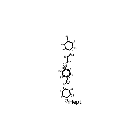 CCCCCCC[C@H]1CC[C@H](COc2ccc(OCCC[C@H]3CC[C@H](C)CC3)cc2)CC1